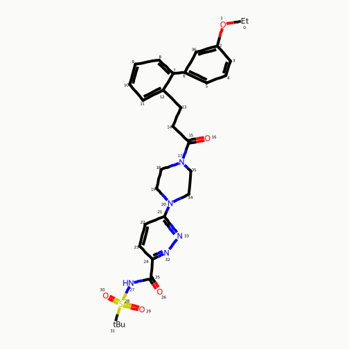 CCOc1cccc(-c2ccccc2CCC(=O)N2CCN(c3ccc(C(=O)NS(=O)(=O)C(C)(C)C)nn3)CC2)c1